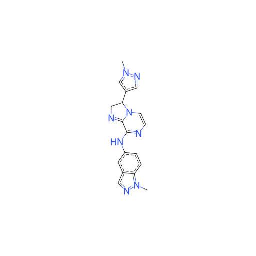 Cn1cc(C2CN=C3C(Nc4ccc5c(cnn5C)c4)=NC=CN32)cn1